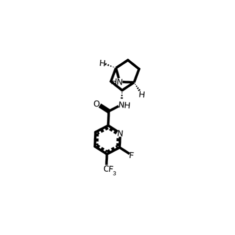 O=C(N[C@@H]1C[C@H]2CC[C@@H]1N2)c1ccc(C(F)(F)F)c(F)n1